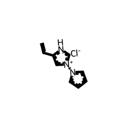 C=Cc1c[n+](-n2cccc2)c[nH]1.[Cl-]